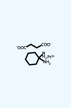 NC1(N)CCCCC1.O=C([O-])CCC(=O)[O-].[Pt+2]